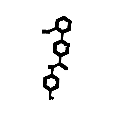 CSc1ccccc1-c1ccc(C(=O)Nc2ccc(C(C)C)cc2)cn1